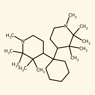 CN1CCC(C2(C3CCN(C)C(C)(C)C3(C)C)CCCCC2)C(C)(C)C1(C)C